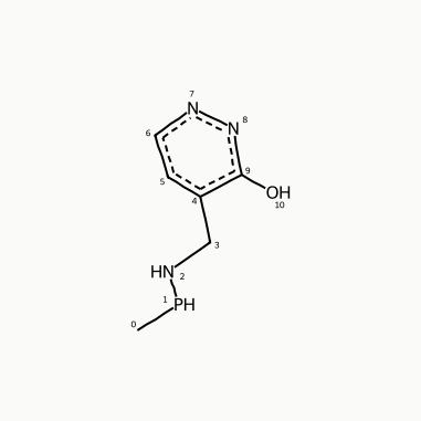 CPNCc1ccnnc1O